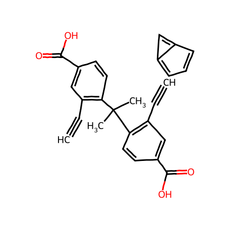 C#Cc1cc(C(=O)O)ccc1C(C)(C)c1ccc(C(=O)O)cc1C#C.c1cc2cc-2c1